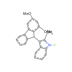 COc1cc(OC)c2c(c1)-c1ccccc1C2c1c(C)n(F)c2ccccc12